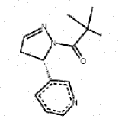 CC(C)(C)C(=O)N1N=CC[C@H]1c1cccnc1